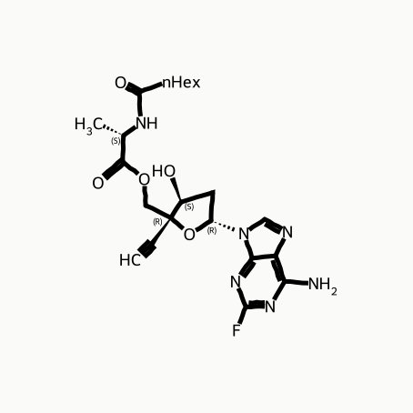 C#C[C@]1(COC(=O)[C@H](C)NC(=O)CCCCCC)O[C@@H](n2cnc3c(N)nc(F)nc32)C[C@@H]1O